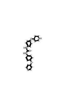 O=C(Nc1ccc(Oc2ccncc2)cc1)Nc1ccc(OC2CCNCC2)cc1